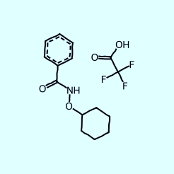 O=C(NOC1CCCCC1)c1ccccc1.O=C(O)C(F)(F)F